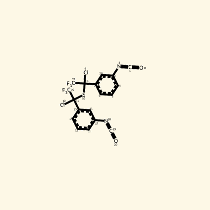 O=C=Nc1cccc(C(Cl)(SC(Cl)(c2cccc(N=C=O)c2)C(F)(F)F)C(F)(F)F)c1